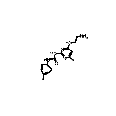 Cc1ccc(NC(=O)Nc2nc(C)cc(NCCN)n2)cc1